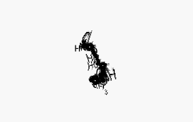 Cc1cccc(S(=O)(=O)Nc2cccc(C(O)CNCCOc3ccc4c(Cl)n[nH]c4c3)c2)c1